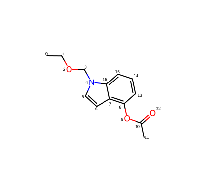 CCOCn1ccc2c(OC(C)=O)cccc21